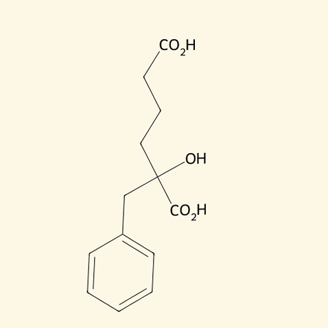 O=C(O)CCCC(O)(Cc1ccccc1)C(=O)O